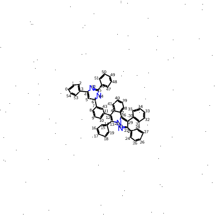 c1ccc(-c2cc(-c3cccc(-c4c(-c5ccccc5)n5nc(-c6ccccc6)c(-c6ccccc6)c5c5ccccc45)c3)nc(-c3ccccc3)n2)cc1